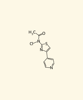 CC(=O)N(Cl)c1nc(-c2ccncc2)cs1